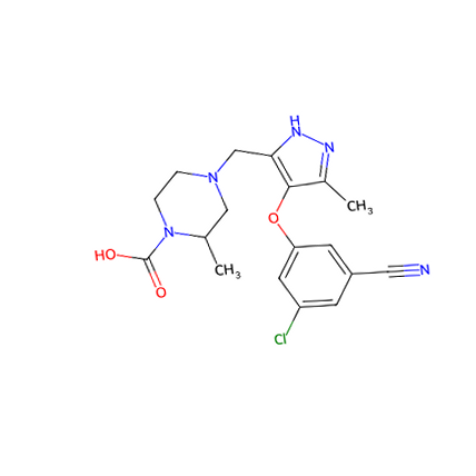 Cc1n[nH]c(CN2CCN(C(=O)O)C(C)C2)c1Oc1cc(Cl)cc(C#N)c1